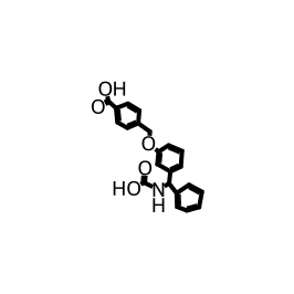 O=C(O)NC(c1ccccc1)c1cccc(OCc2ccc(C(=O)O)cc2)c1